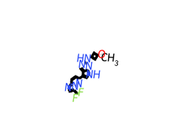 CO[C@H]1C[C@@H](Nc2ncc3c(-c4ccc5ncc(C(F)F)n5n4)c[nH]c3n2)C1